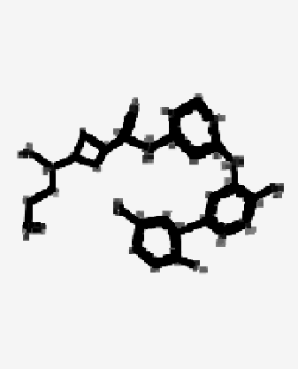 CCCN(CCNC)C1CC(C(=O)Nc2cc(Nc3cc(-c4cc(Cl)ccc4F)nnc3S)ncn2)C1